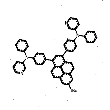 CC(C)(C)c1cc2ccc3c(-c4ccc(N(c5ccccc5)c5cccnc5)cc4)cc(-c4ccc(N(c5ccccc5)c5cccnc5)cc4)c4ccc(c1)c2c34